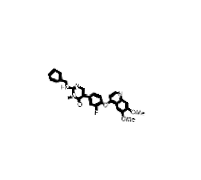 COc1cc2nccc(Oc3ccc(-c4cnc(NCc5ccccc5)n(C)c4=O)cc3F)c2cc1OC